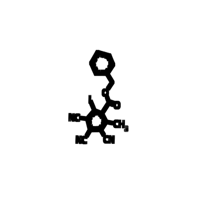 Cc1c(C#N)c(C#N)c(C#N)c(I)c1C(=O)OCc1ccccc1